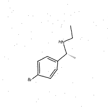 CCN[C@H](C)c1ccc(Br)cc1